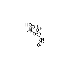 O=C(O)N1CCC[C@H]1COc1cc(C2=NOC3(CCOC3)C2)ccc1OC(F)F